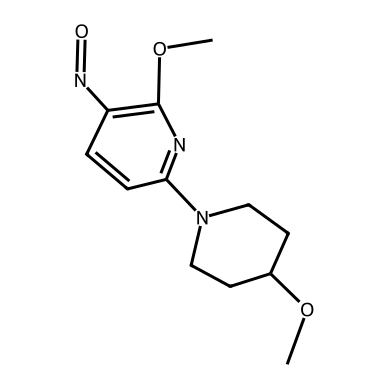 COc1nc(N2CCC(OC)CC2)ccc1N=O